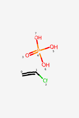 C=CCl.O=P(O)(O)O